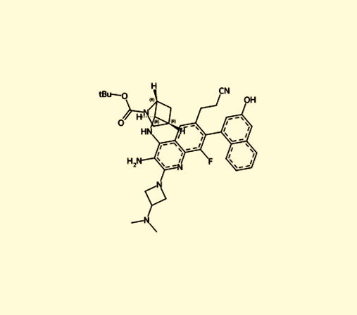 CN(C)C1CN(c2nc3c(F)c(-c4cc(O)cc5ccccc45)c(CCC#N)cc3c(N[C@@H]3[C@@H]4C[C@H]3N(C(=O)OC(C)(C)C)C4)c2N)C1